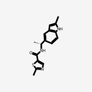 Cc1cc2cc([C@@H](C)NC(=O)c3cnc(C)s3)ccc2[nH]1